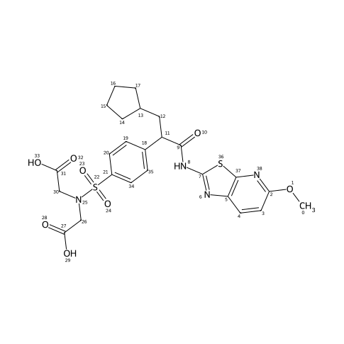 COc1ccc2nc(NC(=O)C(CC3CCCC3)c3ccc(S(=O)(=O)N(CC(=O)O)CC(=O)O)cc3)sc2n1